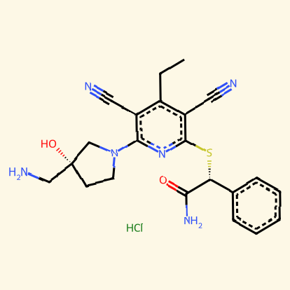 CCc1c(C#N)c(S[C@@H](C(N)=O)c2ccccc2)nc(N2CC[C@@](O)(CN)C2)c1C#N.Cl